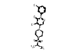 CC(C)S(=O)(=O)N1CCN(c2cnn(-c3cccc(Cl)c3)c(=O)c2Br)CC1